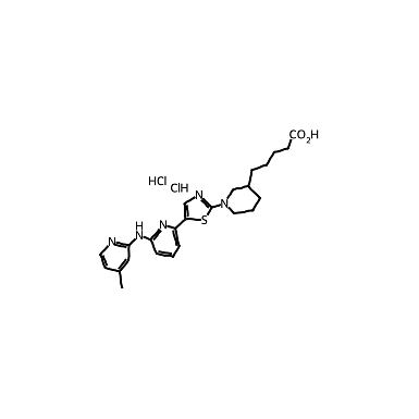 Cc1ccnc(Nc2cccc(-c3cnc(N4CCCC(CCCCC(=O)O)C4)s3)n2)c1.Cl.Cl